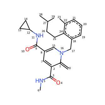 C=C1C(C(=O)NC)=CC(C(=O)NC2CC2)=CN1Cc1cccc(C)c1CCC(C)C